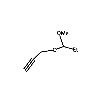 C#CCCC(C[CH2])OC